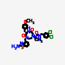 COc1ccc(C[C@@H]2NC(=O)CN(N(C)C(=O)NCc3ccc(Cl)c(Cl)c3)CCN(Cc3cccc4sc(N)nc34)C2=O)cc1